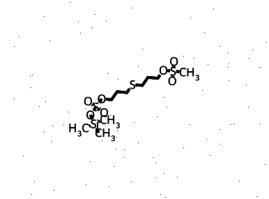 C[Si](C)(C)OS(=O)(=O)OCCCSCCCOS(C)(=O)=O